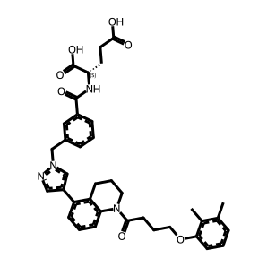 Cc1cccc(OCCCC(=O)N2CCCc3c(-c4cnn(Cc5cccc(C(=O)N[C@@H](CCC(=O)O)C(=O)O)c5)c4)cccc32)c1C